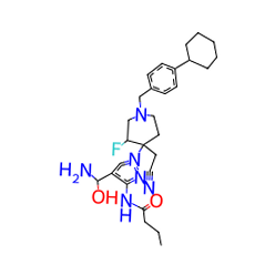 CCCC(=O)Nc1nn(C2(CC#N)CCN(Cc3ccc(C4CCCCC4)cc3)CC2F)cc1C(N)O